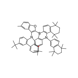 Cc1ccc2oc3c(c2c1)N(c1ccc(C(C)(C)C)cc1-c1ccccc1)c1cc(C(C)(C)C)cc2c1B3c1ccc3c(c1N2c1ccc2c(c1)C(C)(C)CCC2(C)C)C(C)(C)CCC3(C)C